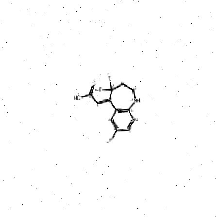 O=C(O)/C=C1/c2cc(F)ccc2NCCC1(F)F